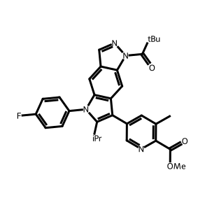 COC(=O)c1ncc(-c2c(C(C)C)n(-c3ccc(F)cc3)c3cc4cnn(C(=O)C(C)(C)C)c4cc23)cc1C